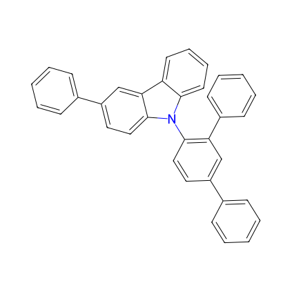 c1ccc(-c2ccc(-n3c4ccccc4c4cc(-c5ccccc5)ccc43)c(-c3ccccc3)c2)cc1